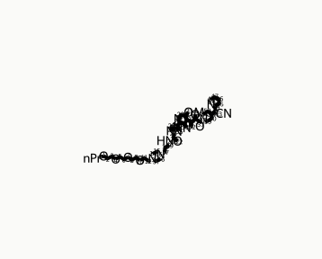 CCCOCCOCCOCCOCCN1CCN(CCCNC(=O)c2ncn(-c3ncc(OC)c4c(C(=O)C(=O)N5CCC(=C(C#N)c6ccccn6)CC5)c[nH]c34)n2)CC1